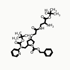 CC(C)(C)OC(=O)C(N)CNC(=O)CO[C@@H]1CC(CN(C(=O)OC(C)(C)C)c2ccccn2)N(C(=O)OCc2ccccc2)C1